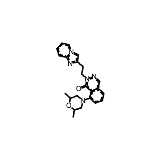 CC1CN(c2cccc3cnn(CCc4cn5ccccc5n4)c(=O)c23)CC(C)O1